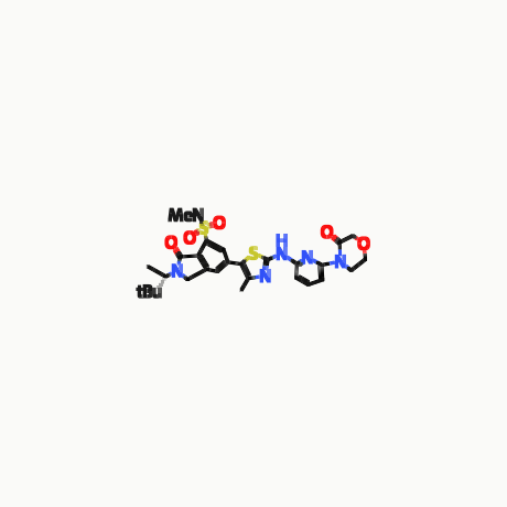 CNS(=O)(=O)c1cc(-c2sc(Nc3cccc(N4CCOCC4=O)n3)nc2C)cc2c1C(=O)N([C@@H](C)C(C)(C)C)C2